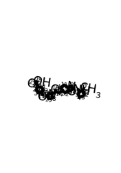 Cc1ccccc1Nc1nc2ccc(CC(=O)N3CC[C@@H](Oc4ccc(C(=O)O)cc4)C3)cc2o1